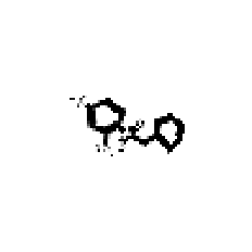 Cc1ccc(S(=O)(=O)Cc2ccccc2)c([N+](=O)[O-])c1